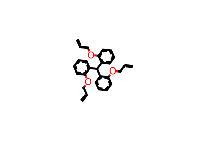 C=CCOc1ccccc1C(c1ccccc1OCC=C)c1ccccc1OCC=C